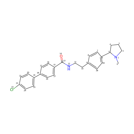 CN1CCCC1c1ccc(CCNC(=O)c2ccc(-c3ccc(Cl)cc3)cc2)cc1